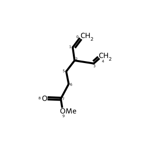 C=CC(C=C)CCC(=O)OC